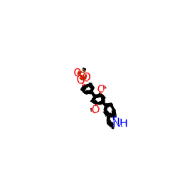 COc1cc(-c2ccc3[nH]ccc3c2)c(OC)cc1-c1ccc(OS(C)(=O)=O)cc1